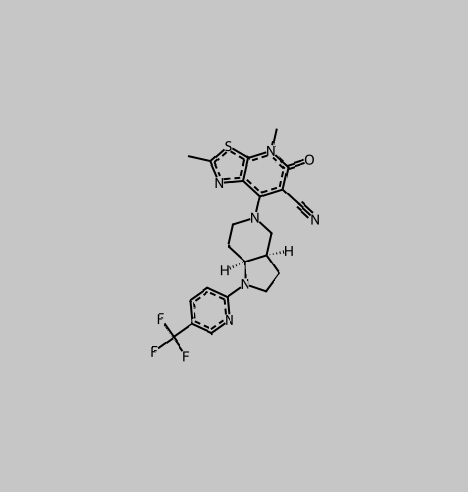 Cc1nc2c(N3CC[C@H]4[C@H](CCN4c4ccc(C(F)(F)F)cn4)C3)c(C#N)c(=O)n(C)c2s1